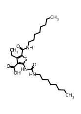 CCCCCCCCNC(=O)Nc1sc(C(=O)NCCCCCCCC)c(CC)c1C(=O)O